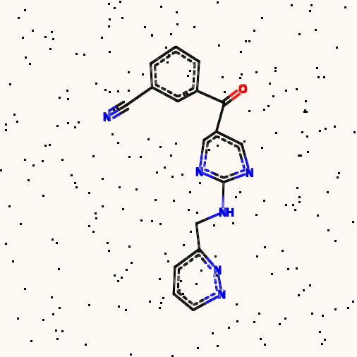 N#Cc1cccc(C(=O)c2cnc(NCc3cccnn3)nc2)c1